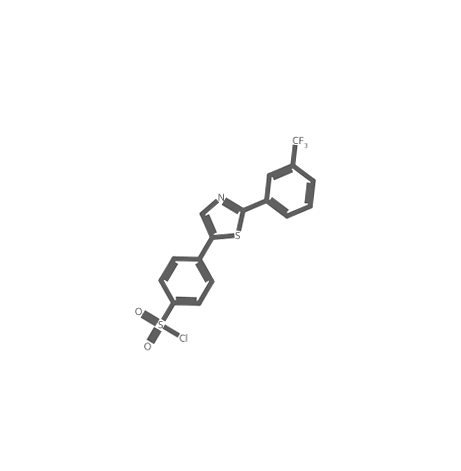 O=S(=O)(Cl)c1ccc(-c2cnc(-c3cccc(C(F)(F)F)c3)s2)cc1